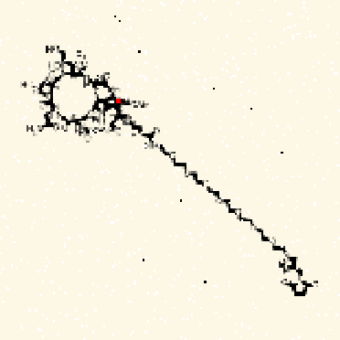 CC[C@H](C)[C@H]1NC(=O)CNC(=O)[C@@H]2Cc3c([nH]c4c(CSCCNC(=O)NCCOCCOCCOCCOCCOCCOCCOCCn5cc(CN6C(=O)C=CC6=O)nn5)c(OC)ccc34)[S+]([O-])C[C@H](NC(=O)CNC1=O)C(=O)N[C@@H](CC(N)=O)C(=O)N1C[C@H](O)C[C@@H]1C(=O)N[C@@H]([C@@H](C)[C@@H](O)CO)C(=O)N2